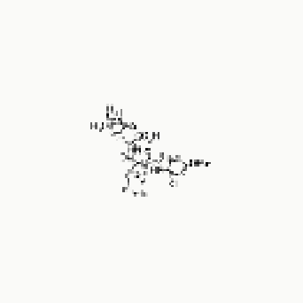 COc1cc(Cl)c2[nH]c(C(=O)N3CC4(CCCCC4)C[C@H]3C(=O)NC(C[C@@H]3CC(C)(C)NC3=O)C(=O)O)cc2c1